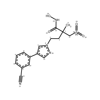 CC(CCn1cc(-c2cccc(C#N)c2)cn1)(C[SH](=O)=O)C(=O)NO